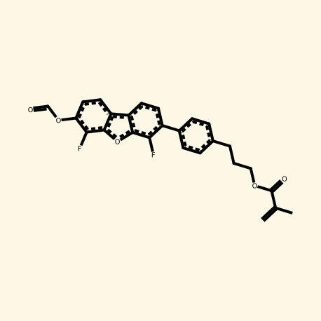 C=C(C)C(=O)OCCCc1ccc(-c2ccc3c(oc4c(F)c(OC=O)ccc43)c2F)cc1